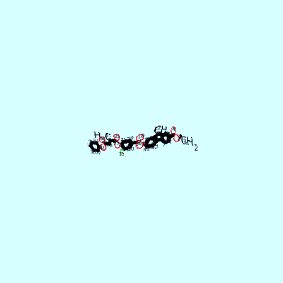 C=COC(=O)c1ccc2c(c1)C(C)c1cc(OC(=O)c3ccc(OC(=O)C(=C)CC(=O)OC4CCCCC4)c(F)c3)ccc1-2